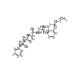 CCOC(=O)CC(NC(=O)CNC(=O)c1csc(NC(=O)Nc2ccccc2)n1)c1ccccc1